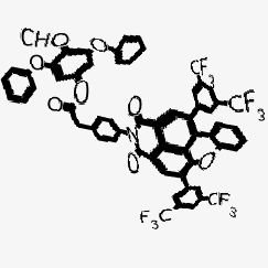 O=Cc1c(Oc2ccccc2)cc(OC(=O)Cc2ccc(-n3c(=O)c4cc(-c5cc(C(F)(F)F)cc(C(F)(F)F)c5)c5oc6ccccc6c6c(-c7cc(C(F)(F)F)cc(C(F)(F)F)c7)cc(c3=O)c4c56)cc2)cc1Oc1ccccc1